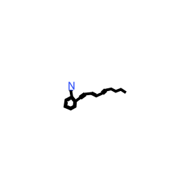 CCCCC#CC=CC#Cc1ccccc1C#N